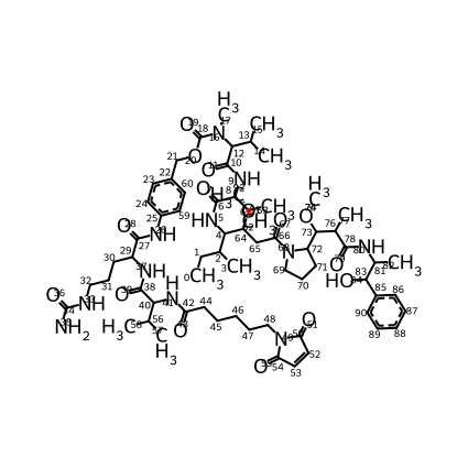 CCC(C)C(NC(=O)C(NC(=O)C(C(C)C)N(C)C(=O)OCc1ccc(NC(=O)C(CCCNC(N)=O)NC(=O)C(NC(=O)CCCCCN2C(=O)C=CC2=O)C(C)C)cc1)C(C)C)C(CC(=O)N1CCCC1C(OC)C(C)C(=O)NC(C)C(O)c1ccccc1)OC